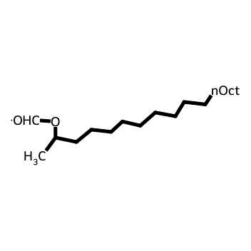 CCCCCCCCCCCCCCCCCC(C)O[C]=O